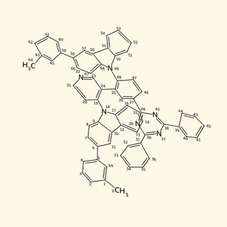 Cc1cccc(-c2ccc3c(c2)c2ccccc2n3-c2ccncc2-c2cc(-c3nc(-c4ccccc4)nc(-c4ccccc4)n3)ccc2-n2c3ccccc3c3cc(-c4cccc(C)c4)ccc32)c1